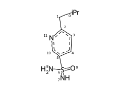 CC(C)Cc1ccc(S(=N)(N)=O)cn1